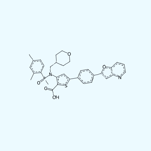 Cc1ccc(P(C)(=O)N(CC2CCOCC2)c2cc(-c3ccc(-c4cc5ncccc5o4)cc3)sc2C(=O)O)c(C)c1